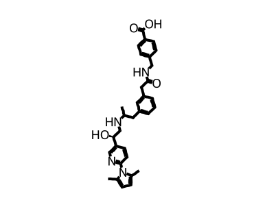 Cc1ccc(C)n1-c1ccc([C@@H](O)CNC(C)Cc2cccc(CC(=O)NCc3ccc(C(=O)O)cc3)c2)cn1